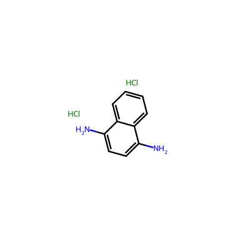 Cl.Cl.Nc1ccc(N)c2ccccc12